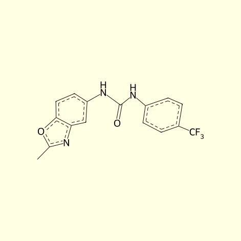 Cc1nc2cc(NC(=O)Nc3ccc(C(F)(F)F)cc3)ccc2o1